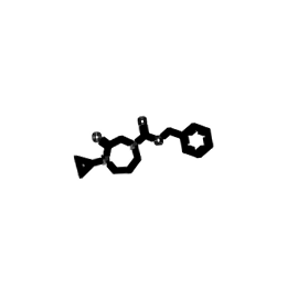 O=C(OCc1ccccc1)N1CCCN(C2CC2)C(=O)C1